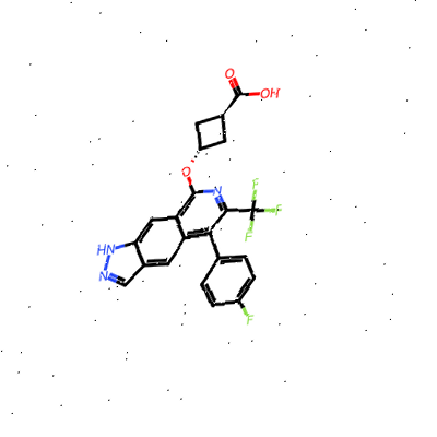 O=C(O)[C@H]1C[C@H](Oc2nc(C(F)(F)F)c(-c3ccc(F)cc3)c3cc4cn[nH]c4cc23)C1